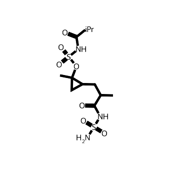 CC(C)C(=O)NS(=O)(=O)OC1(C)CC1CC(C)C(=O)NS(N)(=O)=O